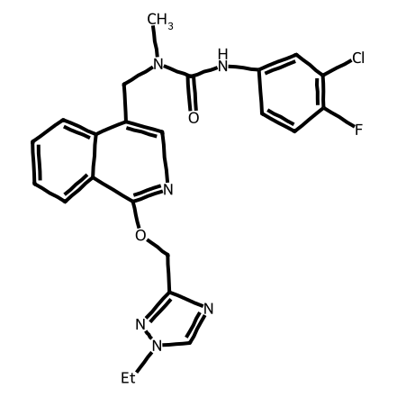 CCn1cnc(COc2ncc(CN(C)C(=O)Nc3ccc(F)c(Cl)c3)c3ccccc23)n1